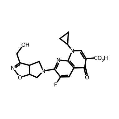 O=C(O)c1cn(C2CC2)c2nc(N3CC4ON=C(CO)C4C3)c(F)cc2c1=O